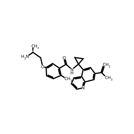 C=C(C)c1cc(C2(NC(=O)c3cc(OC[C@H](C)N)ccc3C)CC2)c2cccnc2c1